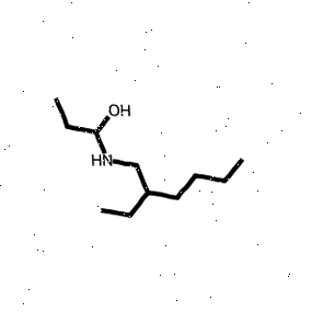 CCCCC(CC)CNC(O)CC